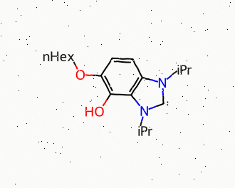 CCCCCCOc1ccc2c(c1O)N(C(C)C)[C]N2C(C)C